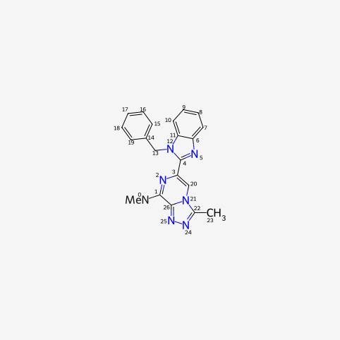 CNc1nc(-c2nc3ccccc3n2Cc2ccccc2)cn2c(C)nnc12